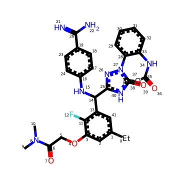 CCc1cc(OCC(=O)N(C)C)c(F)c(C(Nc2ccc(C(=N)N)cc2)c2nn(-c3ccccc3NC(=O)OC)c(=O)[nH]2)c1